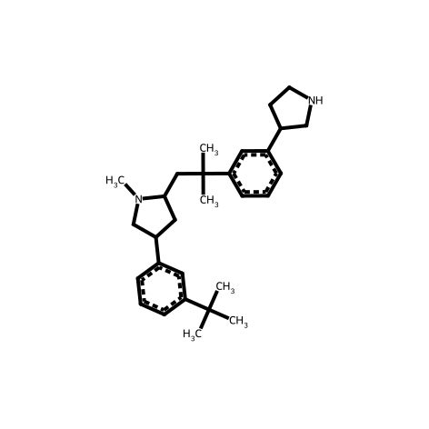 CN1CC(c2cccc(C(C)(C)C)c2)CC1CC(C)(C)c1cccc(C2CCNC2)c1